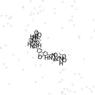 CCCN(C(=O)[C@@H](NC(=O)OC)C(C)C)[C@@H](C)c1ncc(-c2ccc3c(c2)COCc2cc(-c4cnc([C@@H]5[C@H]6CC[C@H](C6)N5C(=O)[C@@H](NC(=O)OC)C(C)C)[nH]4)ccc2-3)[nH]1